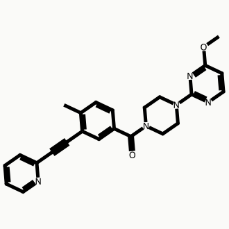 COc1ccnc(N2CCN(C(=O)c3ccc(C)c(C#Cc4ccccn4)c3)CC2)n1